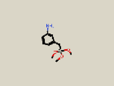 CO[Si](Cc1cccc(N)c1)(OC)OC